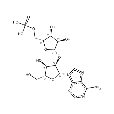 Nc1ncnc2c1ncn2[C@@H]1O[C@H](CO)[C@@H](O)[C@H]1O[C@@H]1O[C@H](COP(=O)(O)O)[C@@H](O)[C@H]1O